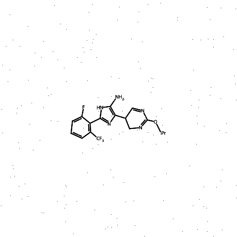 CC(C)OC1=NCC(c2nc(-c3c(F)cccc3C(F)(F)F)[nH]c2N)C=N1